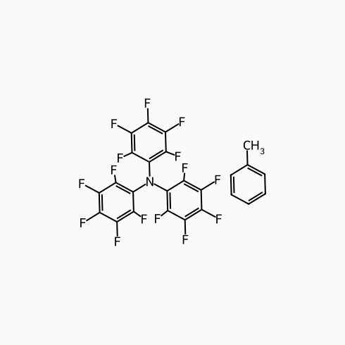 Cc1ccccc1.Fc1c(F)c(F)c(N(c2c(F)c(F)c(F)c(F)c2F)c2c(F)c(F)c(F)c(F)c2F)c(F)c1F